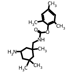 Cc1cc(C)c(OC(=O)NCC2(C)CC(N)CC(C)(C)C2)c(C)c1